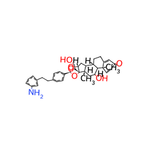 C[C@]12C=CC(=O)C=C1CC[C@@H]1[C@@H]2[C@@H](O)C[C@@]2(C)[C@H]1C[C@H]1O[C@H](c3ccc(CCc4cccc(N)c4)cc3)O[C@]12C(=O)CO